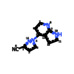 N#Cc1ccn(-c2ccnc3[nH]ccc23)n1